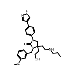 CCCNCCC1(CCO)CN(c2ccc(-c3cn[nH]c3)cc2)C(=O)N1Cc1cccc(OC)c1